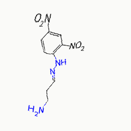 NCCC=NNc1ccc([N+](=O)[O-])cc1[N+](=O)[O-]